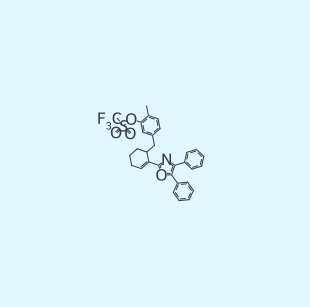 Cc1ccc(CC2CCCC=C2c2nc(-c3ccccc3)c(-c3ccccc3)o2)cc1OS(=O)(=O)C(F)(F)F